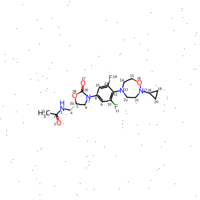 CC(=O)NC[C@H]1CN(c2cc(F)c(N3CCON(C4CC4)CC3)c(F)c2)C(=O)O1